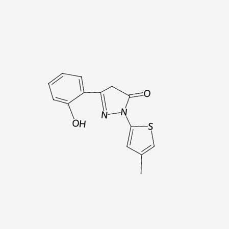 Cc1csc(N2N=C(c3ccccc3O)CC2=O)c1